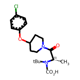 C[C@@H](C(=O)N1CCC(Oc2ccc(Cl)cc2)CC1)N(C(=O)O)C(C)(C)C